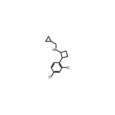 Clc1ccc(C2CCC2NCC2CC2)c(Cl)c1